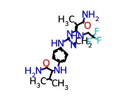 C=N/C(=N\C(NCC(F)(F)F)=C(/C)C(N)=O)Nc1ccc(N[C@H](C(N)=O)C(C)C)cc1